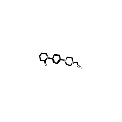 CCN1CCN(c2ccc(N3CCCCC3=O)cc2)CC1